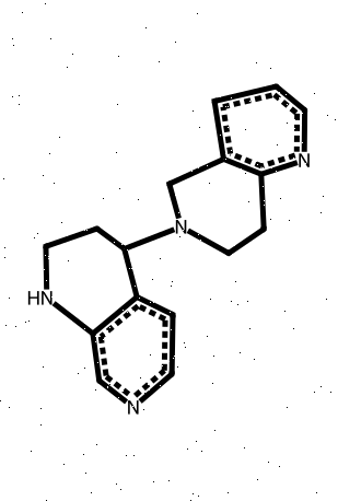 c1cnc2c(c1)CN(C1CCNc3cnccc31)CC2